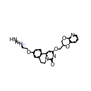 N=N/N=C/COc1ccc2c(c1)CCn1c-2cc(OCC2COc3ncccc3O2)nc1=O